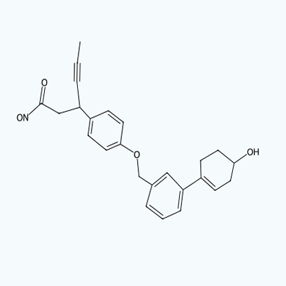 CC#CC(CC(=O)N=O)c1ccc(OCc2cccc(C3=CCC(O)CC3)c2)cc1